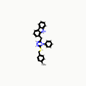 CC(C)(C)c1ccc(CSc2nnc(Cc3cccc4c3[nH]c3ccccc34)n2-c2ccccc2)cc1